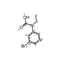 CCN(C(=O)O)c1cncc(Br)c1